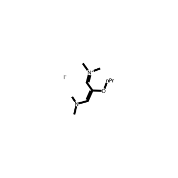 CCCOC(=CN(C)C)C=[N+](C)C.[I-]